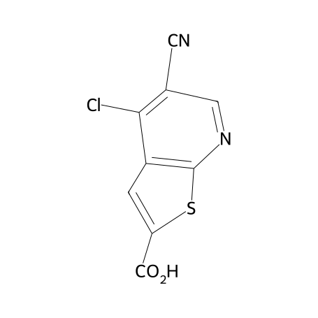 N#Cc1cnc2sc(C(=O)O)cc2c1Cl